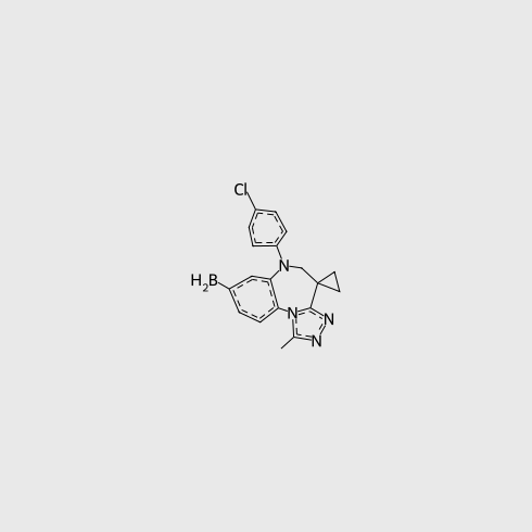 Bc1ccc2c(c1)N(c1ccc(Cl)cc1)CC1(CC1)c1nnc(C)n1-2